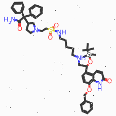 CC(C)(C)[Si](C)(C)OC(CNCCCCCNS(=O)(=O)CCN1CCC(C(C(N)=O)(c2ccccc2)c2ccccc2)C1)c1ccc(OCc2ccccc2)c2[nH]c(=O)ccc12